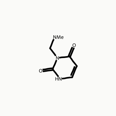 CNCn1c(=O)cc[nH]c1=O